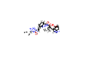 CNC(=O)NCC#Cc1cccc(C(=O)NC(O)[C@H](C)c2c[nH]c3ccccc23)c1